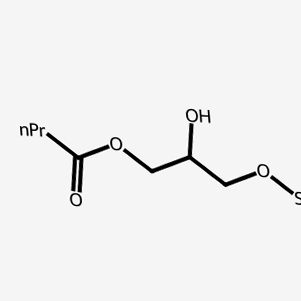 CCCC(=O)OCC(O)CO[S]